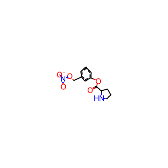 O=C(Oc1cccc(CO[N+](=O)[O-])c1)C1CCCN1